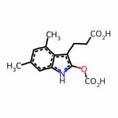 Cc1cc(C)c2c(CCC(=O)O)c(OC(=O)O)[nH]c2c1